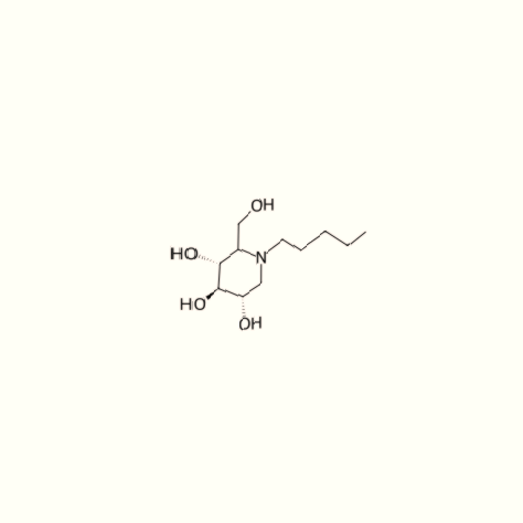 CCCCCN1C[C@H](O)[C@@H](O)[C@H](O)C1CO